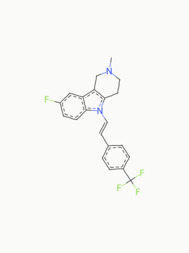 CN1CCc2c(c3cc(F)ccc3n2/C=C/c2ccc(C(F)(F)F)cc2)C1